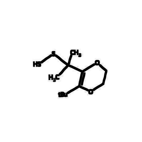 CC(C)(C)C1=C(C(C)(C)SS)OCCO1